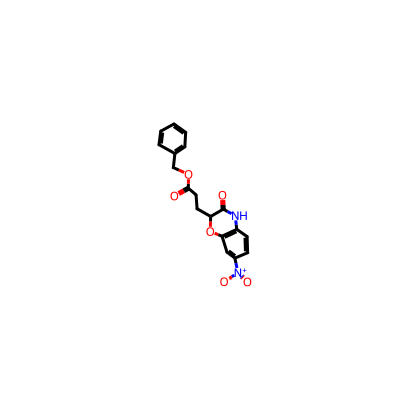 O=C(CCC1Oc2cc([N+](=O)[O-])ccc2NC1=O)OCc1ccccc1